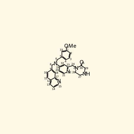 COc1cccc(CN(Cc2ccc3cccnc3c2)c2ccnc(CN3CCNCC3=O)c2)c1